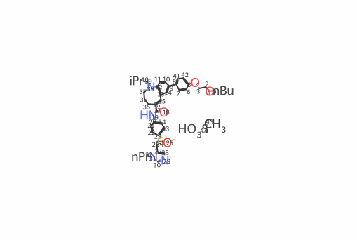 CCCCOCCOc1ccc(-c2ccc3c(c2)C=C(C(=O)Nc2ccc([S@@+]([O-])Cc4cncn4CCC)cc2)CCCN3CC(C)C)cc1.CS(=O)(=O)O